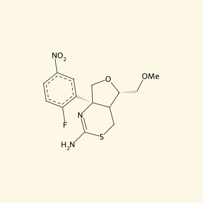 COC[C@H]1OC[C@]2(c3cc([N+](=O)[O-])ccc3F)N=C(N)SCC12